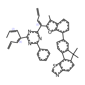 C=C/C=C(/c1nc(C(/C=C\C)=C/C=C)nc(-c2ccccc2)n1)c1oc2c(-c3ccc4c(c3)C(C)(C)c3ccc5ncsc5c3-4)cccc2c1C